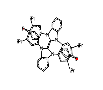 CC(C)c1cc(N2C(=C3N(c4ccc(F)c(C(C)C)c4)c4ccccc4N3c3ccc(F)c(C(C)C)c3)N(c3ccc(F)c(C(C)C)c3)c3ccccc32)ccc1F